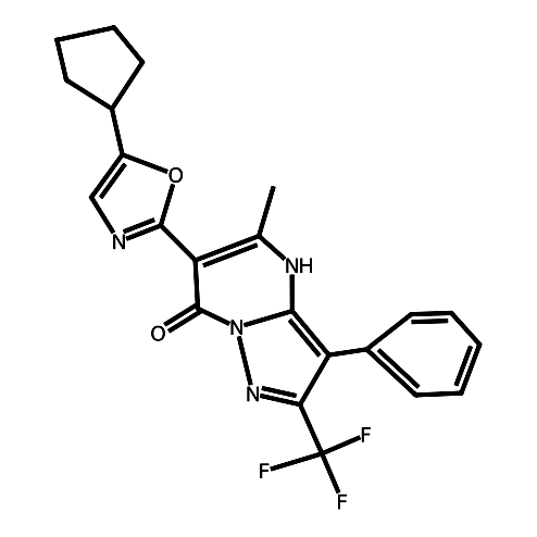 Cc1[nH]c2c(-c3ccccc3)c(C(F)(F)F)nn2c(=O)c1-c1ncc(C2CCCC2)o1